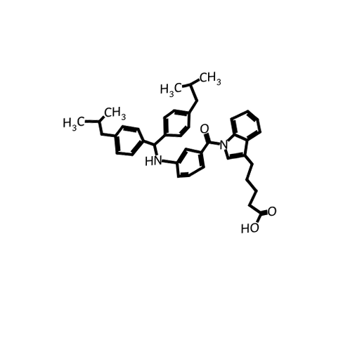 CC(C)Cc1ccc(C(Nc2cccc(C(=O)n3cc(CCCCC(=O)O)c4ccccc43)c2)c2ccc(CC(C)C)cc2)cc1